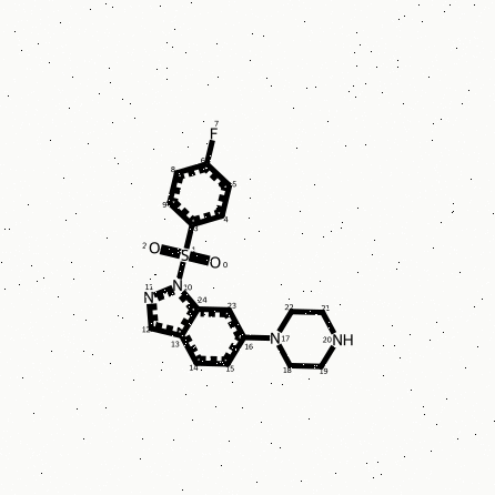 O=S(=O)(c1ccc(F)cc1)n1ncc2ccc(N3CCNCC3)cc21